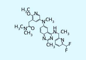 COc1ncc(N(C)c2ccc3nc(C)nc(N[C@H](C)c4cccc(C(F)F)n4)c3c2)cc1CC(=O)N(C)C